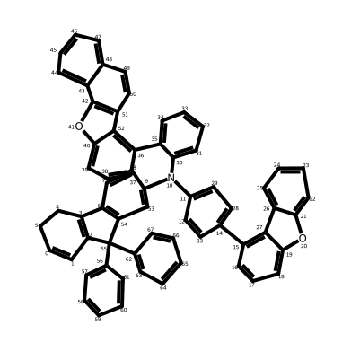 C1=CC2=C(CC1)c1ccc(N(c3ccc(-c4cccc5oc6ccccc6c45)cc3)c3ccccc3-c3cccc4oc5c6ccccc6ccc5c34)cc1C2(c1ccccc1)c1ccccc1